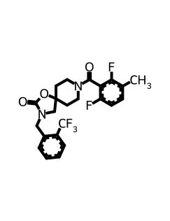 Cc1ccc(F)c(C(=O)N2CCC3(CC2)CN(Cc2ccccc2C(F)(F)F)C(=O)O3)c1F